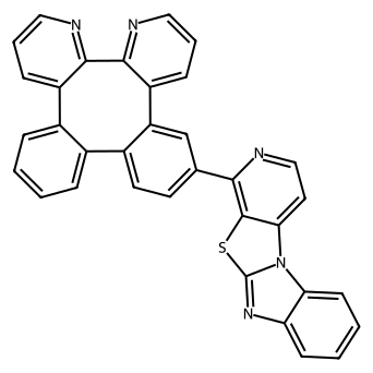 c1ccc2c(c1)-c1ccc(-c3nccc4c3sc3nc5ccccc5n34)cc1-c1cccnc1-c1ncccc1-2